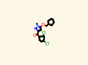 Cn1nc(C(=O)c2ccc(Cl)cc2Cl)cc1OCc1ccccc1